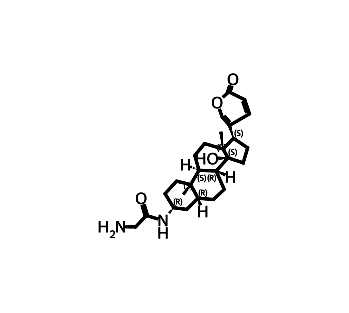 C[C@]12CC[C@@H](NC(=O)CN)C[C@H]1CC[C@@H]1[C@@H]2CC[C@]2(C)[C@@H](c3ccc(=O)oc3)CC[C@]12O